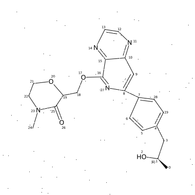 C[C@@H](O)Cc1ccc(-c2cc3nccnc3c(OCC3OCCN(C)C3=O)n2)cc1